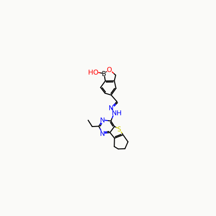 CCc1nc(N/N=C/c2ccc3c(c2)COB3O)c2sc3c(c2n1)CCCC3